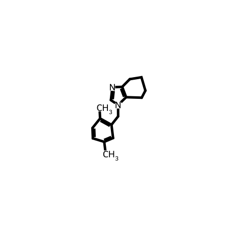 Cc1ccc(C)c(Cn2cnc3c2CCCC3)c1